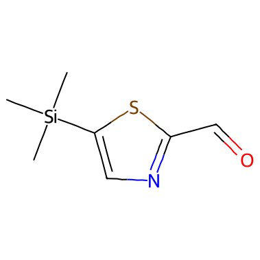 C[Si](C)(C)c1cnc(C=O)s1